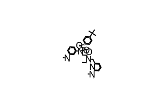 CCN(Cc1cccc(N(C)C)n1)C(=O)CN(c1cccc(N(C)C)c1)S(=O)(=O)c1ccc(C(C)(C)C)cc1